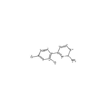 NC1N=C(c2ccc(Cl)cc2Cl)C=CS1